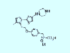 C1CNCCN1.CCO[C@@H](Cc1ccc(OCCn2c(C)ccc2-c2cc(C)cs2)cc1)C(=O)O